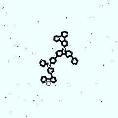 c1ccc(-c2ccc3c(c2)c2cc(-c4ccc(N(c5ccccc5)c5ccc(-c6cccc7oc8ccccc8c67)cc5)cc4)ccc2n3-c2ccc3c4ccccc4c4ccccc4c3c2)cc1